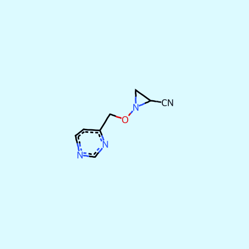 N#CC1CN1OCc1ccncn1